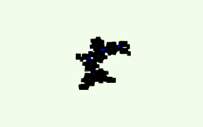 CN(C)c1ccc(-n2c3ccccc3c3c(CN(C)c4ccc(-n5c6ccc(C(C)(C)C)cc6c6cc(C(C)(C)C)ccc65)cc4)cccc32)cc1